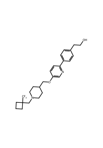 OCCc1ccc(-c2ccc(OCC3CCN(CC4(C(F)(F)F)CCC4)CC3)cn2)cc1